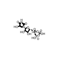 O=c1[nH]c(=O)n([C@@H]2O[C@H](COP3(=O)CP(=O)(O)OP(=O)(O)O3)C(O)C2O)cc1O